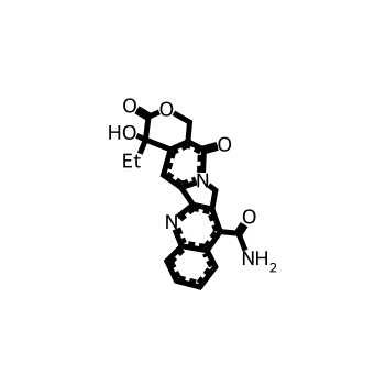 CCC1(O)C(=O)OCc2c1cc1n(c2=O)Cc2c-1nc1ccccc1c2C(N)=O